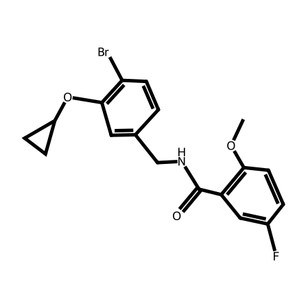 COc1ccc(F)cc1C(=O)NCc1ccc(Br)c(OC2CC2)c1